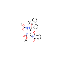 CC(C)(C)OC(=O)NCC(CO[Si](c1ccccc1)(c1ccccc1)C(C)(C)C)CC(CN1C(=O)c2ccccc2C1=O)NC(=O)OC(C)(C)C